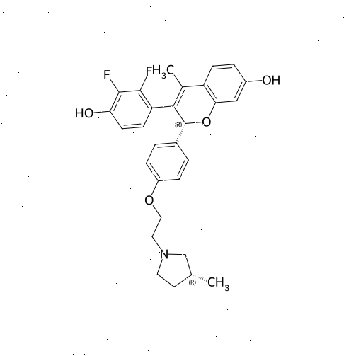 CC1=C(c2ccc(O)c(F)c2F)[C@@H](c2ccc(OCCN3CC[C@@H](C)C3)cc2)Oc2cc(O)ccc21